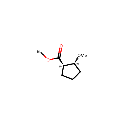 CCOC(=O)[C@@H]1CCC[C@@H]1OC